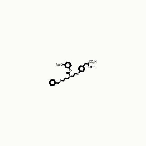 CCOC(Cc1ccc(OCCN(CCCSCc2ccccc2)C(=O)Oc2cccc(OC)c2)cc1)C(=O)O